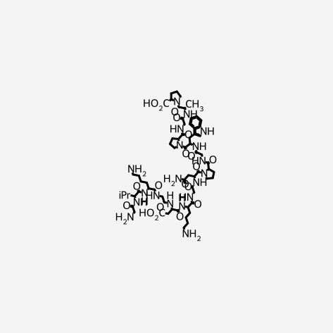 CC(NC(=O)CNC(=O)C1CCCN1C(=O)C(Cc1c[nH]c2ccccc12)NC(=O)CNC(=O)C1CCCN1C(=O)C(CC(N)=O)NC(=O)CNC(=O)C(CCCCN)NC(=O)C(CC(=O)O)NC(=O)CNC(=O)C(CCCCN)NC(=O)C(NC(=O)CN)C(C)C)C(=O)N1CCCC1C(=O)O